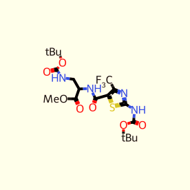 COC(=O)C(CNC(=O)OC(C)(C)C)NC(=O)c1sc(NC(=O)OC(C)(C)C)nc1C(F)(F)F